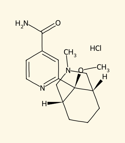 CO[C@]1(c2cc(C(N)=O)ccn2)[C@@H]2CCC[C@H]1CN(C)C2.Cl